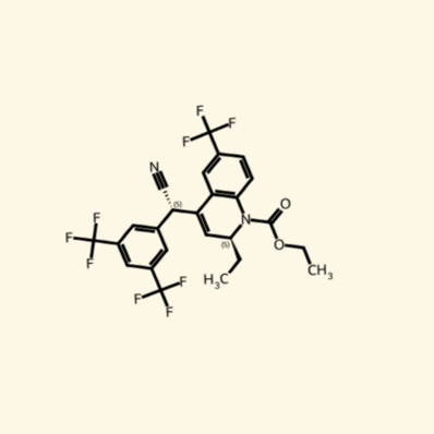 CCOC(=O)N1c2ccc(C(F)(F)F)cc2C([C@@H](C#N)c2cc(C(F)(F)F)cc(C(F)(F)F)c2)=C[C@@H]1CC